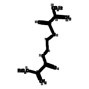 C=C(C(=O)OCC)C(=O)OCCOC(=O)C(=C)C(=O)OCC